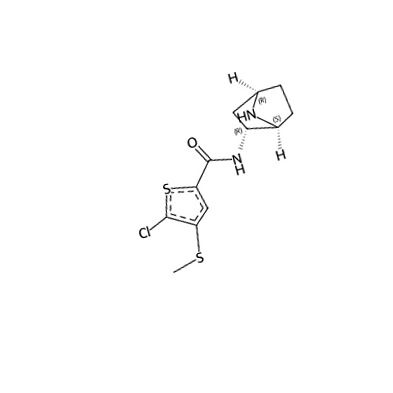 CSc1cc(C(=O)N[C@@H]2C[C@H]3CC[C@@H]2N3)sc1Cl